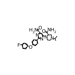 CC(C)N1CCN(c2cc(C(N)=O)nc(-c3ccc(Oc4ccc(F)cc4)cc3)n2)C(C(N)=O)C1